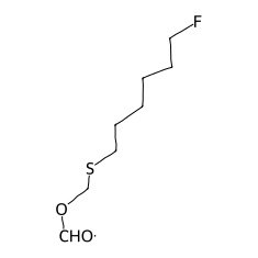 O=[C]OCSCCCCCCF